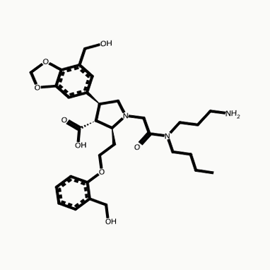 CCCCN(CCCN)C(=O)CN1C[C@H](c2cc(CO)c3c(c2)OCO3)[C@@H](C(=O)O)[C@@H]1CCOc1ccccc1CO